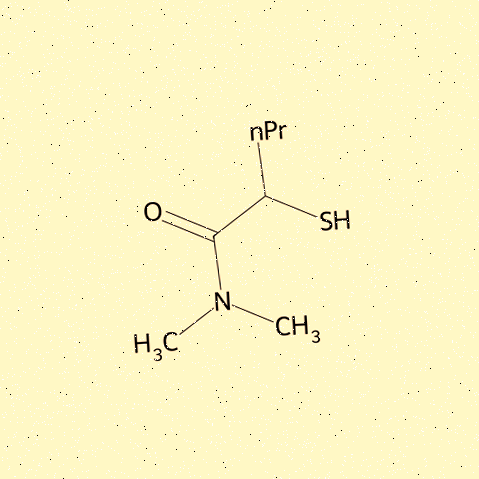 CCCC(S)C(=O)N(C)C